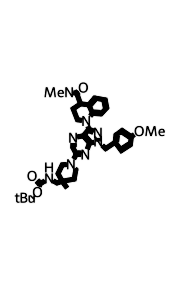 CNC(=O)C1CCN(c2nn(Cc3ccc(OC)cc3)c3nc(N4CCC(C)(CNC(=O)OC(C)(C)C)CC4)cnc23)c2ccccc21